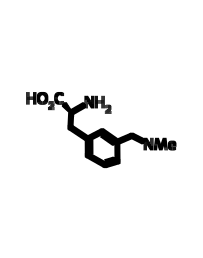 CNCc1cccc(C[C@H](N)C(=O)O)c1